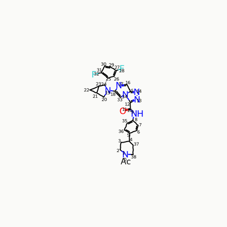 CC(=O)N1CCC(c2ccc(NC(=O)c3nnc4cnc(N5CC6CC6[C@@H]5c5cc(F)ccc5F)cn34)cc2)CC1